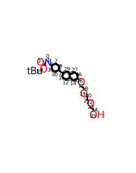 CN(C(=O)OC(C)(C)C)c1ccc(-c2ccc3cc(OCCOCCOCCO)ccc3c2)cc1